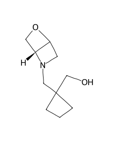 OCC1(CN2CC3OC[C@H]32)CCC1